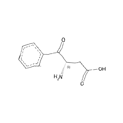 N[C@@H](CC(=O)O)C(=O)c1[c]cccc1